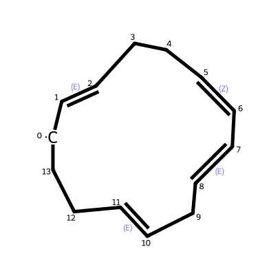 [CH]1/C=C/CC/C=C\C=C\C/C=C/CC1